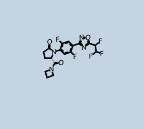 O=C([C@@H]1CCC(=O)N1c1cc(F)c(-c2noc(C(F)C(F)F)n2)cc1F)N1CCC1